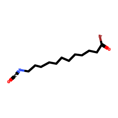 O=C=NCCCCCCCCCCCC(=O)Br